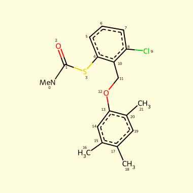 CNC(=O)Sc1cccc(Cl)c1COc1cc(C)c(C)cc1C